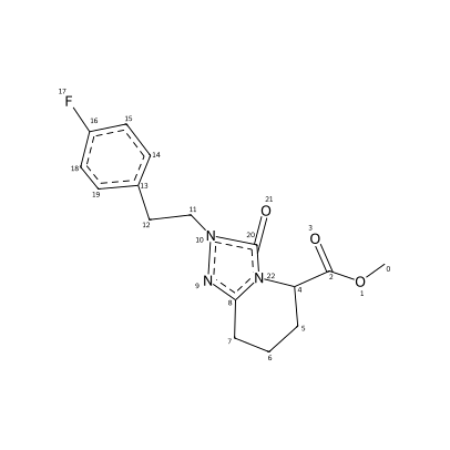 COC(=O)C1CCCc2nn(CCc3ccc(F)cc3)c(=O)n21